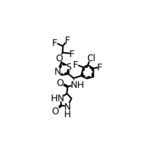 O=C1NCC(C(=O)N[C@H](c2cnc(OC(F)C(F)F)s2)c2ccc(F)c(Cl)c2F)N1